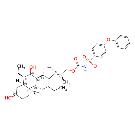 CCCC[C@H]1[C@H]([C@@H]2CC[C@H]([C@H](C)COC(=O)NS(=O)(=O)c3ccc(Oc4ccccc4)cc3)C2)[C@H](O)[C@H](CC)[C@@H]2C[C@H](O)CC[C@@]21C